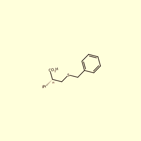 CC(C)[C@@H](CSCc1ccccc1)C(=O)O